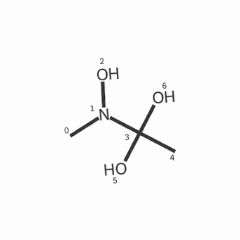 CN(O)C(C)(O)O